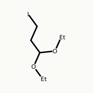 CCOC(CCI)OCC